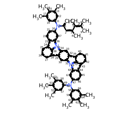 C=C(/C=C(/C)C(C)=C(C)C)N(c1cc(C)c(C)c(C)c1)c1ccc2c3cccc4c5cc6c(cc5n(c2c1)c34)c1cccc2c3ccc(N(c4cc(C)c(C)c(C)c4)c4cc(C)c(C)c(C)c4)cc3n6c21